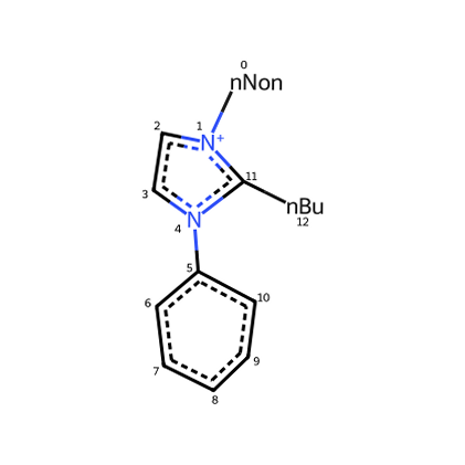 CCCCCCCCC[n+]1ccn(-c2ccccc2)c1CCCC